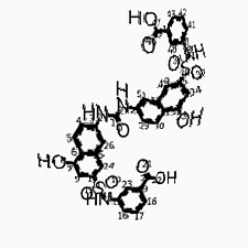 O=C(Nc1ccc2c(O)cc(S(=O)(=O)Nc3cccc(C(=O)O)c3)cc2c1)Nc1ccc2c(O)cc(S(=O)(=O)Nc3cccc(C(=O)O)c3)cc2c1